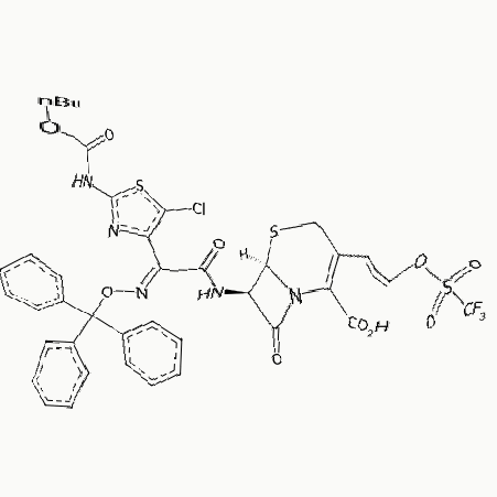 CCCCOC(=O)Nc1nc(C(=NOC(c2ccccc2)(c2ccccc2)c2ccccc2)C(=O)N[C@@H]2C(=O)N3C(C(=O)O)=C(C=COS(=O)(=O)C(F)(F)F)CS[C@H]23)c(Cl)s1